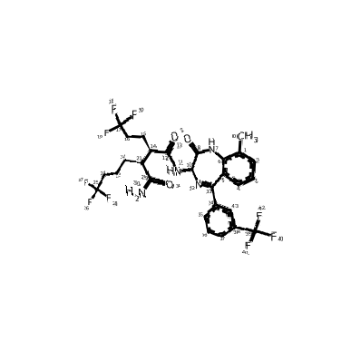 Cc1cccc2c1NC(=O)C(NC(=O)[C@H](CCC(F)(F)F)[C@H](CCCC(F)(F)F)C(N)=O)N=C2c1cccc(C(F)(F)F)c1